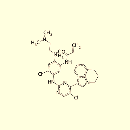 C=CC(=O)Nc1cc(Nc2ncc(Cl)c(-c3cn4c5c(cccc35)CCC4)n2)c(Cl)cc1N(C)CCN(C)C